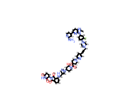 Cc1nc2ccc(-c3ccnc(N)c3)nc2n1-c1ccc(N2CCN(CC#Cc3ccc(N4CCC(O)(C(=O)N5CCC(n6cc(CNc7cccc8c7C(=O)N(C7CCC(=O)NC7=O)C8=O)cn6)CC5)CC4)nc3)CC2)c(F)c1